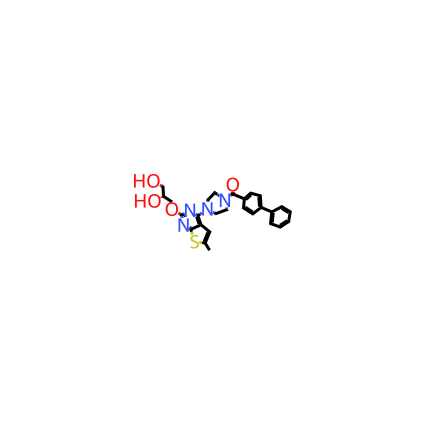 Cc1cc2c(N3CCN(C(=O)c4ccc(-c5ccccc5)cc4)CC3)nc(OC[C@H](O)CO)nc2s1